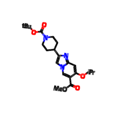 COC(=O)c1cn2cc(C3CCN(C(=O)OC(C)(C)C)CC3)nc2cc1OC(C)C